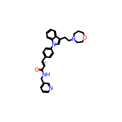 O=C(/C=C/c1ccc(-n2cc(CCN3CCCOCC3)c3ccccc32)cc1)NCc1cccnc1